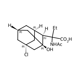 CCC(NC(C)=O)(C(=O)O)[C@@H]1[C@@H]2C[C@H]3C[C@@](Cl)(C2)C[C@]1(O)C3